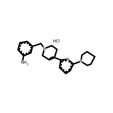 Cl.Nc1cccc(CN2CC=C(c3cccc(N4CCCCC4)n3)CC2)c1